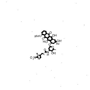 COc1cccc2c1C(=O)c1c(O)c3c(c(O)c1C2=O)C[C@@](O)(C(C)=O)C[C@@H]3O[C@H]1C[C@H](NC(=O)OCc2cnc([N+](=O)[O-])n2C)[C@H](O)[C@H](C)O1